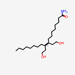 CCCCCCCC/C(CCO)=C(/CCO)CCCCCCCC(N)=O